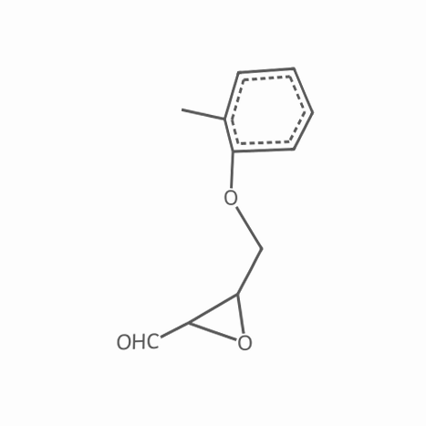 Cc1ccccc1OCC1OC1C=O